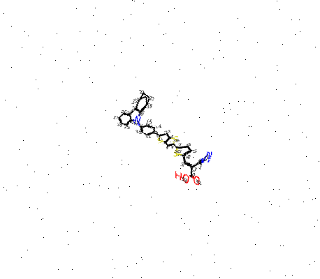 N#C/C(=C\c1ccc(-c2cc3sc(-c4ccc(N5C6=C7CCC(C7)C6c6ccccc65)cc4)cc3s2)s1)C(=O)O